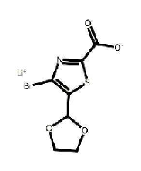 O=C([O-])c1nc(Br)c(C2OCCO2)s1.[Li+]